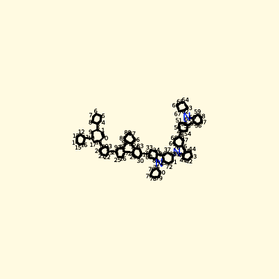 C1#CC(c2ccccc2)C=C(c2ccccc2)C=C1c1cccc(-c2ccc3c4ccc(-c5ccc6c7cc(-n8c9ccccc9c9cc(-c%10ccc%11c(c%10)c%10ccccc%10n%11-c%10ccccc%10)ccc98)ccc7n(-c7ccccc7)c6c5)cc4c4ccccc4c3c2)c1